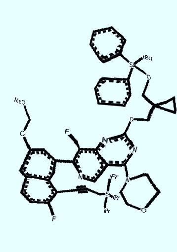 COCOc1cc(-c2ncc3c(N4CCOCC4)nc(OCC4(CO[Si](c5ccccc5)(c5ccccc5)C(C)(C)C)CC4)nc3c2F)c2c(C#C[Si](C(C)C)(C(C)C)C(C)C)c(F)ccc2c1